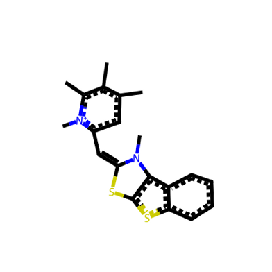 Cc1cc(C=C2Sc3sc4ccccc4c3N2C)[n+](C)c(C)c1C